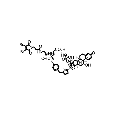 C[C@]12C=CC(=O)C=C1CC[C@@H]1[C@@H]2[C@@H](O)C[C@@]2(C)[C@H]1C[C@H]1O[C@@H](c3ccc(Cc4ccc(NC[C@](C=O)(CCC(=O)O)NC(=O)CNC(=O)CCN5C(=O)C(Br)=C(Br)C5=O)cc4)s3)O[C@]12C(=O)COP(=O)(O)O